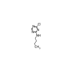 CCCCNc1ncnc(Cl)n1